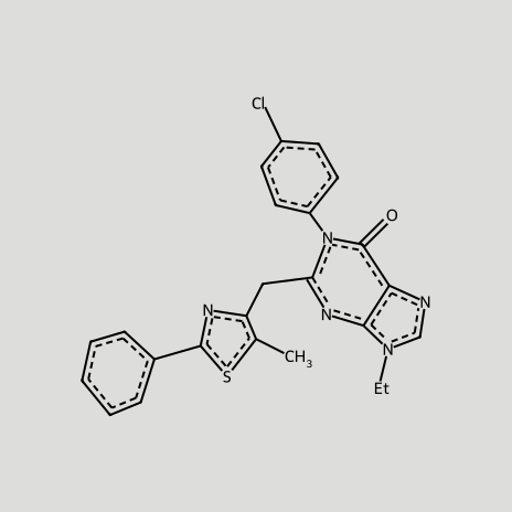 CCn1cnc2c(=O)n(-c3ccc(Cl)cc3)c(Cc3nc(-c4ccccc4)sc3C)nc21